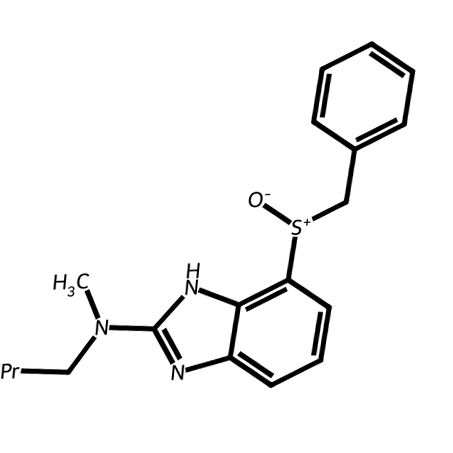 CC(C)CN(C)c1nc2cccc([S+]([O-])Cc3ccccc3)c2[nH]1